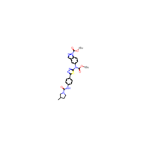 CC1CCN(C(=O)Nc2ccc(-c3nnc(N(C(=O)OC(C)(C)C)c4ccc5c(cnn5C(=O)OC(C)(C)C)c4)s3)cc2)C1